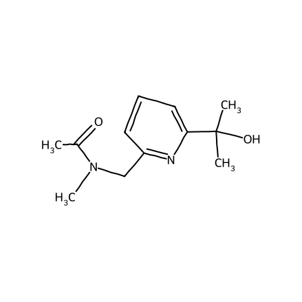 CC(=O)N(C)Cc1cccc(C(C)(C)O)n1